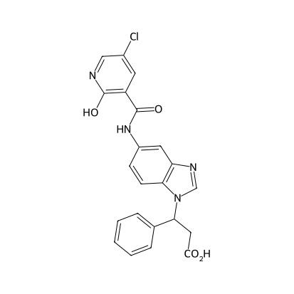 O=C(O)CC(c1ccccc1)n1cnc2cc(NC(=O)c3cc(Cl)cnc3O)ccc21